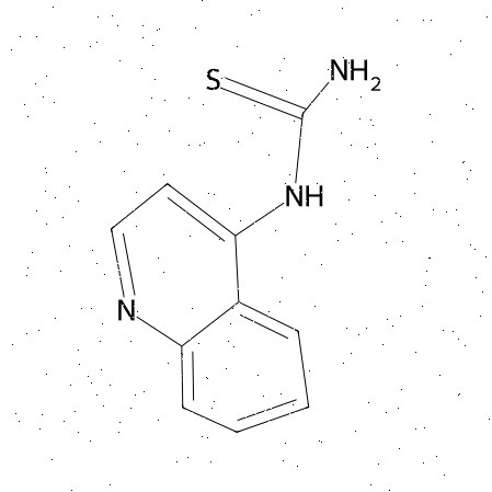 NC(=S)Nc1ccnc2ccccc12